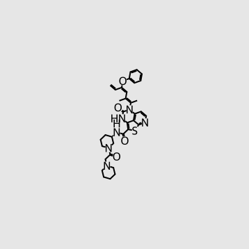 C=C/C(=C\C(C)=C(/C)N1C(=O)Nc2c(C(=O)N[C@@H]3CCCN(C(=O)CN4CCCCC4)C3)sc3nccc1c23)Oc1ccccc1